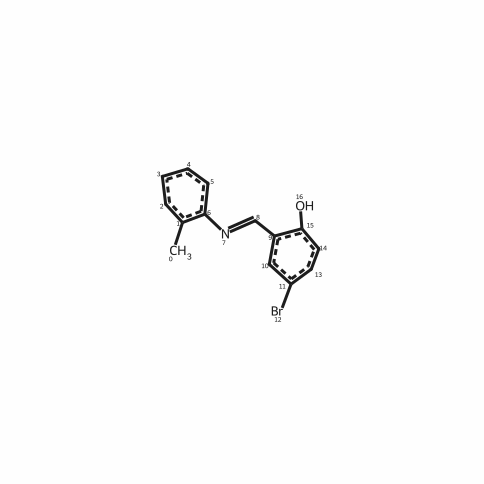 Cc1ccccc1/N=C/c1cc(Br)ccc1O